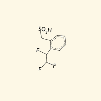 O=S(=O)(O)Cc1ccccc1C(F)C(F)F